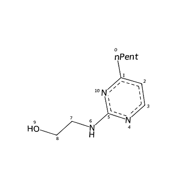 CCCCCc1ccnc(NCCO)n1